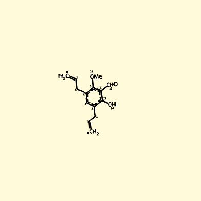 C=CCc1cc(CC=C)c(OC)c(C=O)c1O